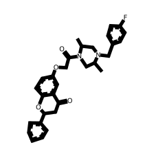 CC1CN(C(=O)COc2ccc3c(c2)C(=O)CC(c2ccccc2)O3)C(C)CN1Cc1ccc(F)cc1